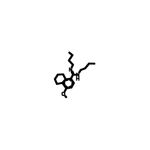 CCCCN=C(NCCCC)c1ccc(OC)c2c1CCCC2